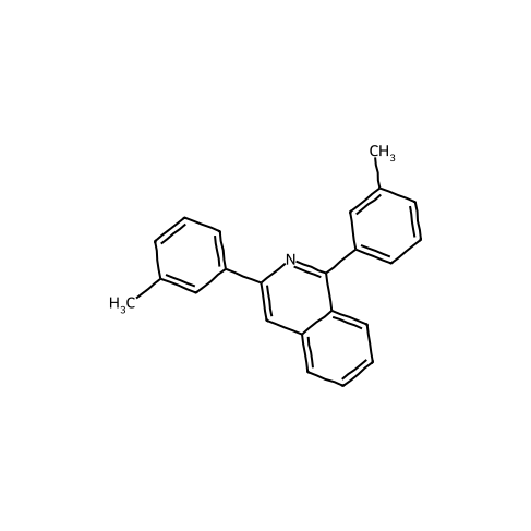 Cc1cccc(-c2cc3ccccc3c(-c3cccc(C)c3)n2)c1